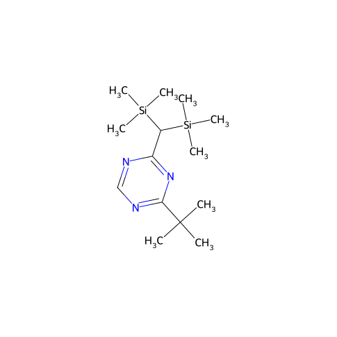 CC(C)(C)c1ncnc(C([Si](C)(C)C)[Si](C)(C)C)n1